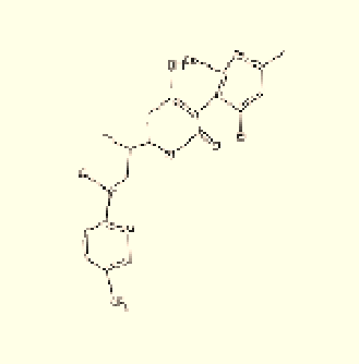 CCc1cc(C)cc(CC)c1C1=C(O)CC(C(C)C[S+]([O-])c2ccc(C(F)(F)F)cn2)OC1=O